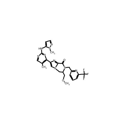 COCC1Cn2cc(-c3nc(Nc4ccnn4C)ncc3C)nc2C(=O)N1Cc1cccc(C(F)(F)F)n1